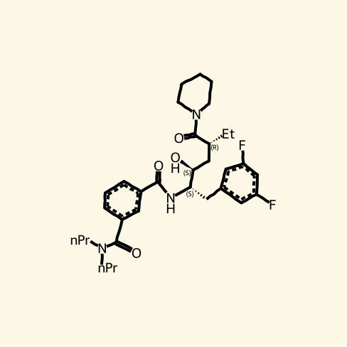 CCCN(CCC)C(=O)c1cccc(C(=O)N[C@@H](Cc2cc(F)cc(F)c2)[C@@H](O)C[C@@H](CC)C(=O)N2CCCCC2)c1